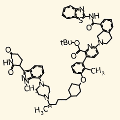 Cc1c(OC2CCC(CCC[C@@H](C)N3CCN(c4cccc5c(C6CCC(=O)NC6=O)nn(C)c45)CC3)CC2)cccc1-c1ccc(N2CCc3cccc(C(=O)Nc4nc5ccccc5s4)c3C2)nc1C(=O)OC(C)(C)C